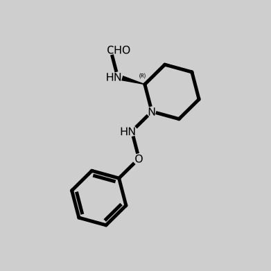 O=CN[C@H]1CCCCN1NOc1ccccc1